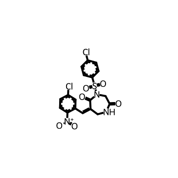 O=C1CN(S(=O)(=O)c2ccc(Cl)cc2)C(=O)C(=Cc2cc(Cl)ccc2[N+](=O)[O-])CN1